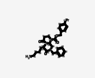 CC(C)c1ccc(COC(=O)N2CCC(=O)N3C2CN(Cc2ccccc2)C(=O)[C@@H]3CCCCN)cc1